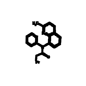 Cc1ccc2cccc(N(C(=O)CC(C)C)c3ccccc3)c2n1